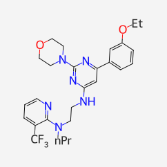 CCCN(CCNc1cc(-c2cccc(OCC)c2)nc(N2CCOCC2)n1)c1ncccc1C(F)(F)F